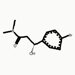 CN(C)C(=O)C[C@@H](O)c1ccc(Br)cc1